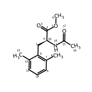 COC(=O)[C@H](Cc1c(C)cccc1C)NC(C)=O